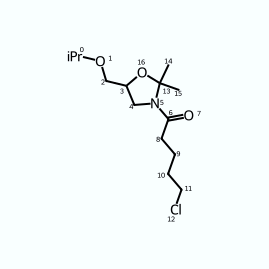 CC(C)OCC1CN(C(=O)CCCCCl)C(C)(C)O1